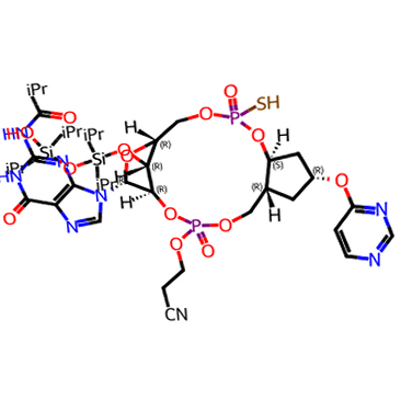 CC(C)C(=O)Nc1nc2c(ncn2[C@@H]2O[C@@H]3COP(=O)(S)O[C@H]4C[C@H](Oc5ccncn5)C[C@@H]4COP(=O)(OCCC#N)O[C@@H]2[C@@H]3O[Si](O[Si](O)(C(C)C)C(C)C)(C(C)C)C(C)C)c(=O)[nH]1